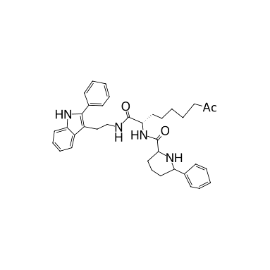 CC(=O)CCCCC[C@H](NC(=O)C1CCCC(c2ccccc2)N1)C(=O)NCCc1c(-c2ccccc2)[nH]c2ccccc12